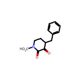 O=C1C(=O)N(C(=O)O)CCC1Cc1ccccc1